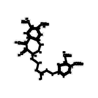 COc1ccc(CCN(C)CCCN2CCc3cc(OC)c(OC)cc3C(=O)C2=O)cc1OC